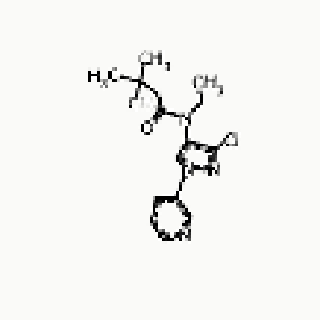 CCN(C(=O)CC(C)(C)C)c1cn(-c2cccnc2)nc1Cl